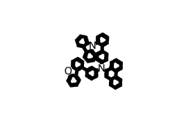 c1cc(-c2cccc3oc4ccccc4c23)cc(N(c2ccc(-c3ccccc3-n3c4ccccc4c4ccccc43)cc2)c2cc3ccccc3c3ccccc23)c1